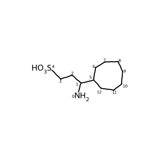 NC(CCS(=O)(=O)O)C1CCCCCCC1